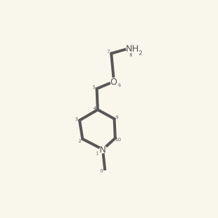 CN1CCC(COCN)CC1